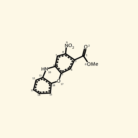 COC(=O)c1cc2c(cc1[N+](=O)[O-])Nc1ccccc1O2